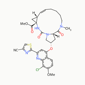 COC(=O)[C@@]12C[C@@H]1/C=C\CCCCN(C)C(=O)[C@@H]1C[C@H](Oc3cc(-c4nc(C#N)cs4)nc4c(Cl)c(OC)ccc34)CN1C(=O)N2